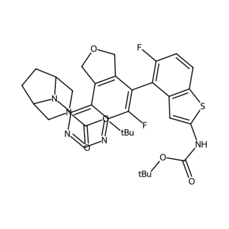 CC(C)(C)OC(=O)Nc1cc2c(-c3c4c(c5c(N6C7CCC6CN(C(=O)OC(C)(C)C)C7)ncnc5c3F)COC4)c(F)ccc2s1